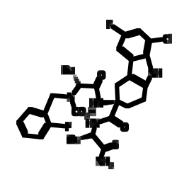 CC[C@H](C)C(NC(=O)[C@@]1(NC(=O)C([C@@H](C)CC)N(Cc2ccccc2F)C(=O)O)CCc2[nH]c3c(Cl)cc(F)cc3c2C1)C(N)=S